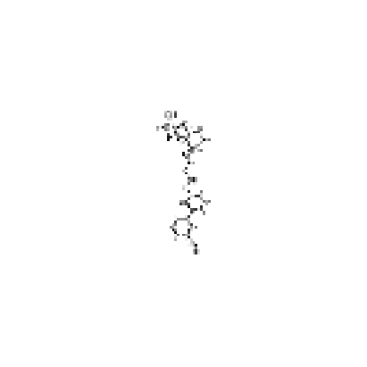 N#Cc1cccc(-c2cncc(CNCCOc3cccc4cc(C(=O)O)[nH]c34)c2)c1